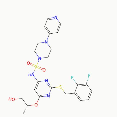 C[C@H](CO)Oc1cc(NS(=O)(=O)N2CCN(c3ccncc3)CC2)nc(SCc2cccc(F)c2F)n1